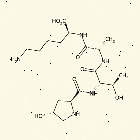 C[C@H](NC(=O)[C@@H](NC(=O)[C@@H]1C[C@@H](O)CN1)[C@@H](C)O)C(=O)N[C@@H](CCCCN)C(=O)O